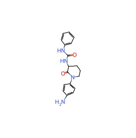 Nc1ccc(N2CCCC(NC(=O)Nc3ccccc3)C2=O)cc1